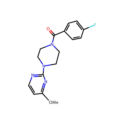 COc1ccnc(N2CCN(C(=O)c3ccc(F)cc3)CC2)n1